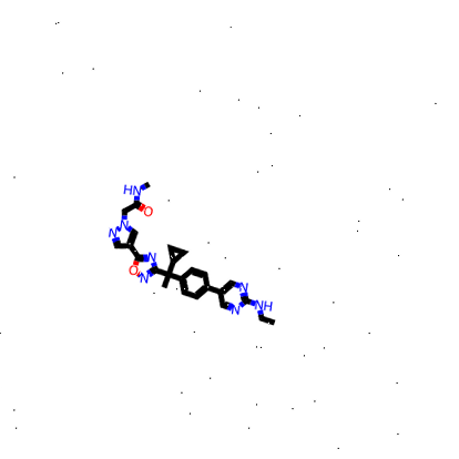 CCNc1ncc(-c2ccc(C(C)(c3noc(-c4cnn(CC(=O)NC)c4)n3)C3CC3)cc2)cn1